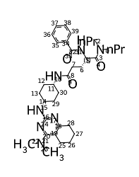 CCCN(CCC)C(=O)[C@H](CCC(=O)N[C@H]1CC[C@@H](Nc2nc3c(c(N(C)C)n2)CCCC3)CC1)NC(=O)c1ccccc1